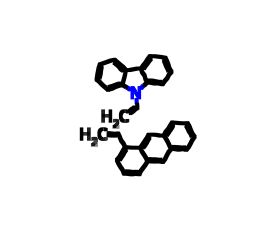 C=Cc1cccc2cc3ccccc3cc12.C=Cn1c2ccccc2c2ccccc21